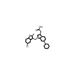 Cc1sc2ccc(Cl)cc2c1Cn1cc(CC(=O)O)c2ccc(-c3ccccc3)cc21